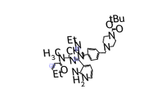 CC/C=C\C(=O)N(C)C(C)/N=C(/c1cccnc1N)N(/C=N/CC)c1ccc(CN2CCN(C(=O)OC(C)(C)C)CC2)cc1